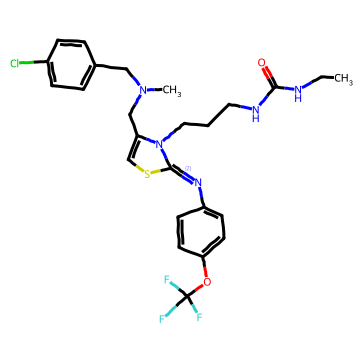 CCNC(=O)NCCCn1c(CN(C)Cc2ccc(Cl)cc2)cs/c1=N\c1ccc(OC(F)(F)F)cc1